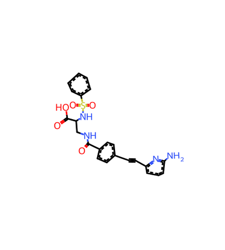 Nc1cccc(C#Cc2ccc(C(=O)NCC(NS(=O)(=O)c3ccccc3)C(=O)O)cc2)n1